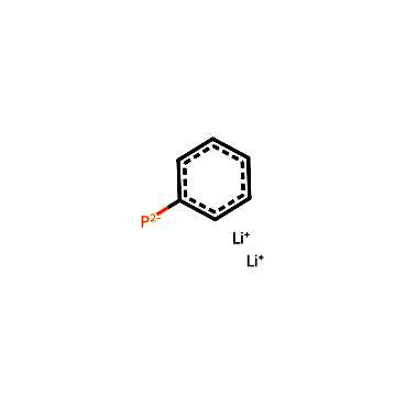 [Li+].[Li+].[P-2]c1ccccc1